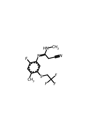 CN/C(CC#N)=N/c1cc(SCC(F)(F)F)c(C)cc1F